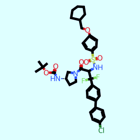 CC(C)(C)OC(=O)N[C@H]1CCN(C(=O)C(NS(=O)(=O)c2ccc(OCC3CCCCC3)cc2)C(F)(F)c2ccc(-c3ccc(Cl)cc3)cc2)C1